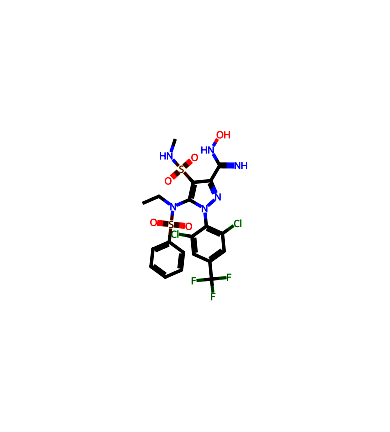 CCN(c1c(S(=O)(=O)NC)c(C(=N)NO)nn1-c1c(Cl)cc(C(F)(F)F)cc1Cl)S(=O)(=O)c1ccccc1